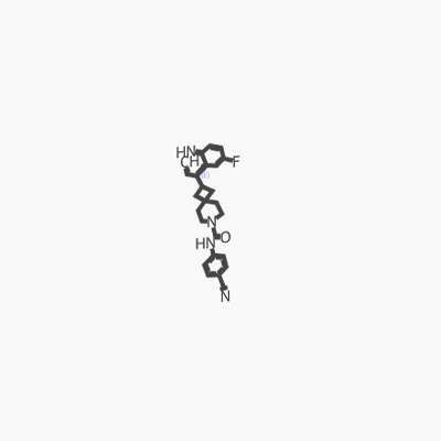 C=C/C(=C1/C=C(F)C=CC1=N)C1CC2(CCN(C(=O)Nc3ccc(C#N)cc3)CC2)C1